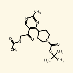 CC(=O)OCC(=O)c1cnc(C)nc1C1CCN(C(=O)OC(C)(C)C)CC1